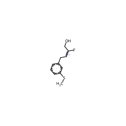 CSc1cccc(C/C=C(/F)CO)c1